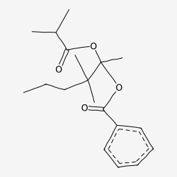 CCCC(C)(C)C(C)(OC(=O)c1ccccc1)OC(=O)C(C)C